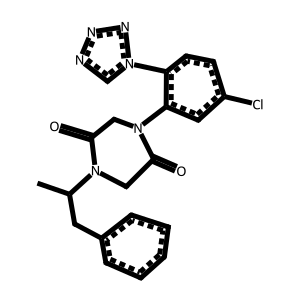 CC(Cc1ccccc1)N1CC(=O)N(c2cc(Cl)ccc2-n2cnnn2)CC1=O